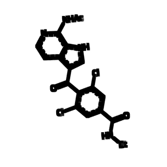 CCNC(=O)c1cc(Cl)c(C(=O)c2c[nH]c3c(NC(C)=O)nccc23)c(Cl)c1